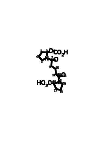 O=C(O)OC1CCCN1C(=O)CCCC(=O)N1CCC[C@@H]1C(=O)O